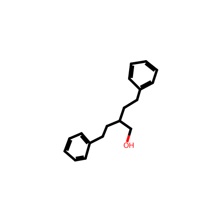 OCC(CCc1ccccc1)CCc1ccccc1